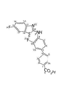 O=C(O)c1ccc(-c2ccc(Nc3nc4ccc(F)cc4s3)c(F)c2)cc1